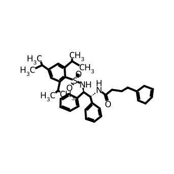 CC(C)c1cc(C(C)C)c(S(=O)(=O)N[C@H](c2ccccc2)[C@H](NC(=O)CCCC2=CCC=CC2)c2ccccc2)c(C(C)C)c1